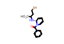 O=C(O)C(CCS)N[C@@H]1C=CC=CN1C(=O)c1ccccc1